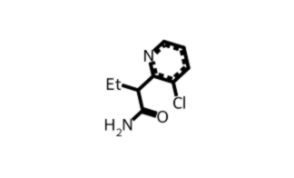 CCC(C(N)=O)c1ncccc1Cl